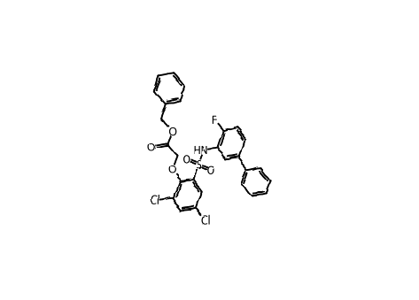 O=C(COc1c(Cl)cc(Cl)cc1S(=O)(=O)Nc1cc(-c2ccccc2)ccc1F)OCc1ccccc1